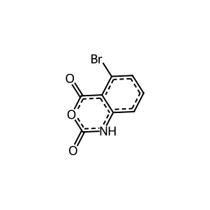 O=c1[nH]c2cccc(Br)c2c(=O)o1